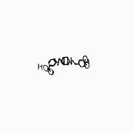 O=C(O)c1cccc(N2CCN(CCC3CCC4(CC3)OCCO4)CC2)c1